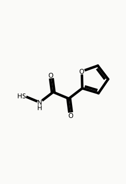 O=C(NS)C(=O)c1ccco1